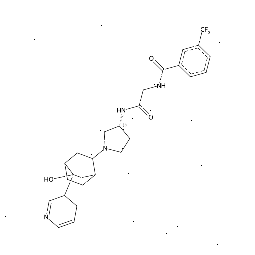 O=C(CNC(=O)c1cccc(C(F)(F)F)c1)N[C@@H]1CCN(C2CC3CCC2CC3(O)C2C=NC=CC2)C1